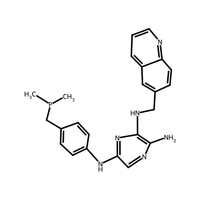 CP(C)Cc1ccc(Nc2cnc(N)c(NCc3ccc4ncccc4c3)n2)cc1